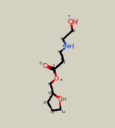 O=C(CCNCCO)OCC1CCCO1